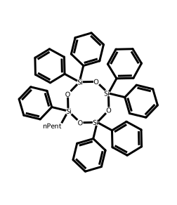 [CH2]CCCC[Si]1(c2ccccc2)O[Si](c2ccccc2)(c2ccccc2)O[Si](c2ccccc2)(c2ccccc2)O[Si](c2ccccc2)(c2ccccc2)O1